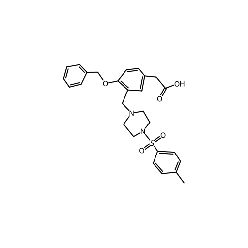 Cc1ccc(S(=O)(=O)N2CCN(Cc3cc(CC(=O)O)ccc3OCc3ccccc3)CC2)cc1